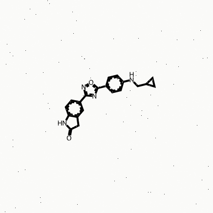 O=C1Cc2cc(-c3noc(-c4ccc(NCC5CC5)cc4)n3)ccc2N1